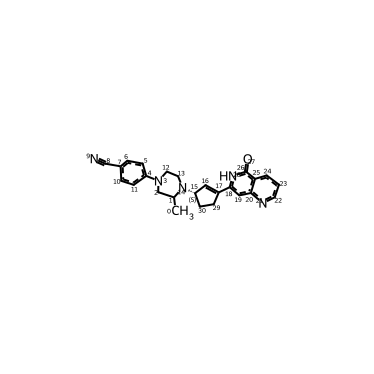 CC1CN(c2ccc(C#N)cc2)CCN1[C@@H]1C=C(c2cc3ncccc3c(=O)[nH]2)CC1